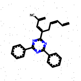 C=C/C=C\CC(=CC(=C)C#N)c1nc(-c2ccccc2)nc(-c2ccccc2)n1